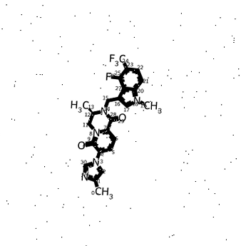 Cc1cn(-c2ccc3n(c2=O)C[C@@H](C)N(Cc2cn(C)c4ccc(C(F)(F)F)c(F)c24)C3=O)cn1